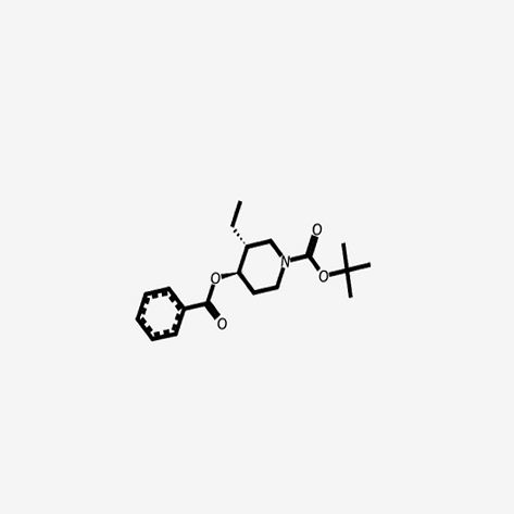 CC[C@@H]1CN(C(=O)OC(C)(C)C)CC[C@H]1OC(=O)c1ccccc1